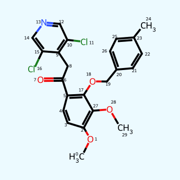 COc1ccc(C(=O)Cc2c(Cl)cncc2Cl)c(OCc2ccc(C)cc2)c1OC